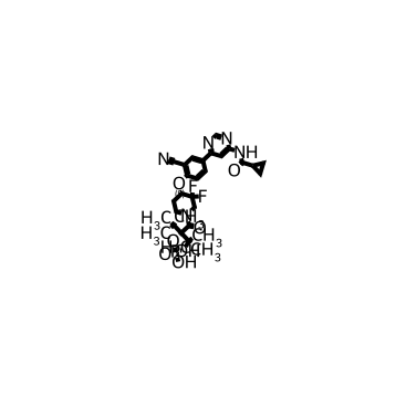 CC(C)(C)C(OP(=O)(O)O)(C(=O)N1CC[C@H](Oc2ccc(-c3cc(NC(=O)C4CC4)ncn3)cc2C#N)C(F)(F)C1)C(C)(C)C